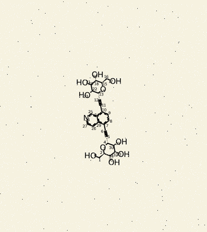 OC[C@H]1O[C@H](C#Cc2ccc(C#C[C@H]3O[C@H](CO)[C@@H](O)[C@H](O)[C@@H]3O)c3cnccc23)[C@@H](O)[C@@H](O)[C@@H]1O